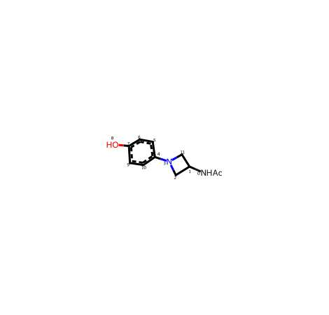 CC(=O)NC1CN(c2ccc(O)cc2)C1